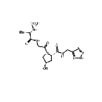 CC[C@H](C)[C@H](NC(=O)O)C(=O)NCC(=O)N1C[C@H](O)C[C@H]1C(=O)NCc1nn[nH]n1